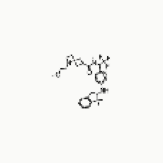 COCCN1CCC12CC(C(=O)N(C)C(c1ccc(NC3Cc4ccccc4C3(C)C)cn1)C(F)(F)F)C2